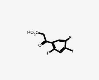 O=C(O)CC(=O)c1cc(F)c(F)cc1F